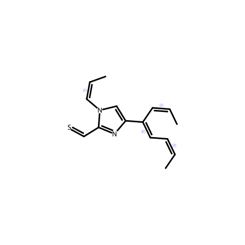 C\C=C/C=C(\C=C/C)c1cn(/C=C\C)c(C=S)n1